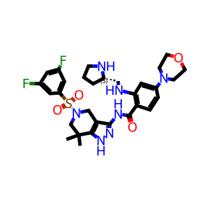 CC1(C)CN(S(=O)(=O)c2cc(F)cc(F)c2)Cc2c(NC(=O)c3ccc(N4CCOCC4)cc3NC[C@@H]3CCCN3)n[nH]c21